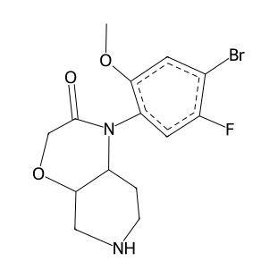 COc1cc(Br)c(F)cc1N1C(=O)COC2CNCCC21